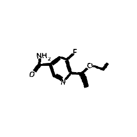 C=C(OCC)c1ncc(C(N)=O)cc1F